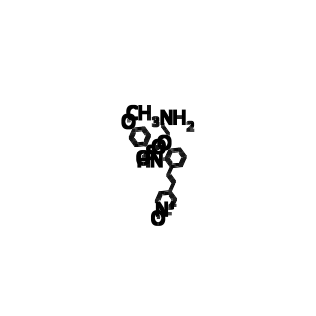 COc1ccc(S(=O)(=O)Nc2c(C=Cc3cc[n+]([O-])cc3)cccc2OCCN)cc1